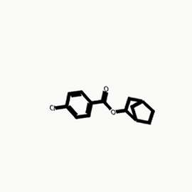 O=C(OC1CC2CCC1C2)c1ccc(Cl)cc1